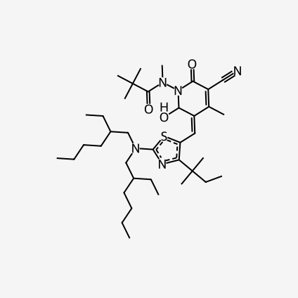 CCCCC(CC)CN(CC(CC)CCCC)c1nc(C(C)(C)CC)c(/C=C2/C(C)=C(C#N)C(=O)N(N(C)C(=O)C(C)(C)C)C2O)s1